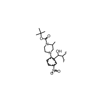 CC1CN(c2ccc([N+](=O)[O-])cc2C(O)C(F)F)CCN1C(=O)OC(C)(C)C